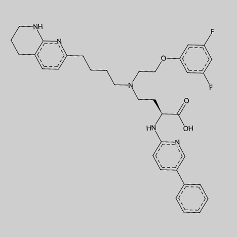 O=C(O)[C@H](CCN(CCCCc1ccc2c(n1)NCCC2)CCOc1cc(F)cc(F)c1)Nc1ccc(-c2ccccc2)cn1